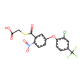 O=C(O)CSC(=O)c1cc(Oc2ccc(C(F)(F)F)cc2Cl)ccc1[N+](=O)[O-]